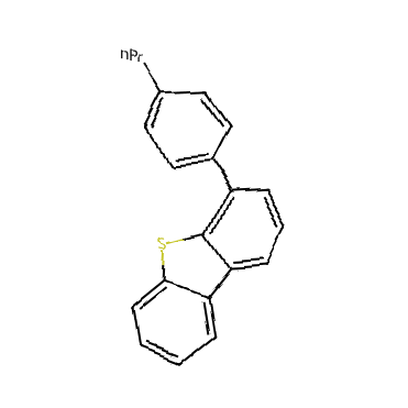 CCCc1ccc(-c2cccc3c2sc2ccccc23)cc1